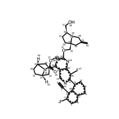 C#Cc1c(F)ccc2cccc(-c3ncc4c(N5C[C@H]6CC[C@@H](C5)N6C(=O)OC(C)(C)C)nc(OC[C@@]56CC[C@@H](CO)N5CC(=C)C6)nc4c3F)c12